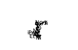 CC[C@@H]1c2nnc(C)n2-c2cnc(CC(=O)c3ccnn3COCC[Si](C)(C)C)nc2N1C(C)C